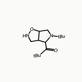 CC(C)(C)C(=O)C1C2CNOC2CN1C(C)(C)C